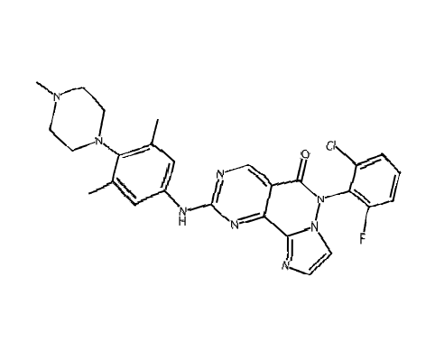 Cc1cc(Nc2ncc3c(=O)n(-c4c(F)cccc4Cl)n4ccnc4c3n2)cc(C)c1N1CCN(C)CC1